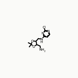 CC1(C)OC(CN)C(CNc2ccnc(Cl)n2)O1